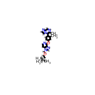 Cc1cc(Oc2nccc3c2ncn3COCC[Si](C)(C)C)ccc1-c1c(C)ncc2nccn12